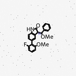 CO/C(=C1/C(=O)Nc2ccc(-c3c(F)cccc3OC)cc21)c1ccccc1